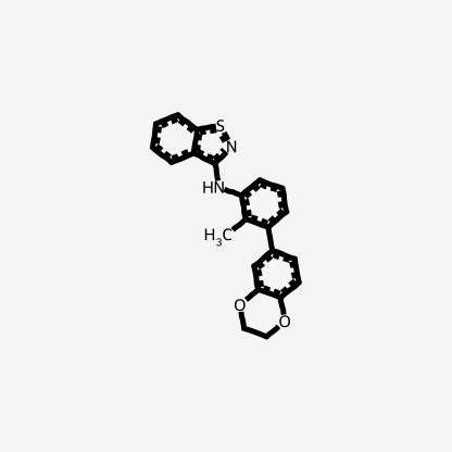 Cc1c(Nc2nsc3ccccc23)cccc1-c1ccc2c(c1)OCCO2